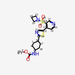 CC(C)OC(=O)NC1CCC(c2ncc(-c3ccncc3S(=O)(=O)N3CCC3)s2)CC1